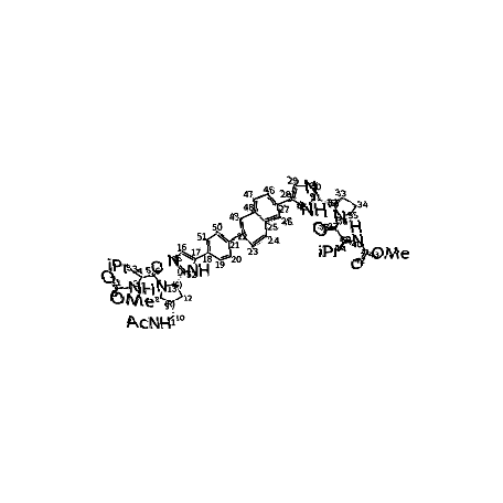 COC(=O)NC(C(=O)N1C[C@@H](CNC(C)=O)C[C@H]1c1ncc(-c2ccc(-c3ccc4cc(-c5cnc([C@@H]6CCCN6C(=O)[C@@H](NC(=O)OC)C(C)C)[nH]5)ccc4c3)cc2)[nH]1)C(C)C